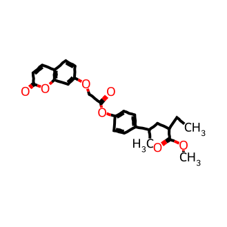 CCC(CC(C)c1ccc(OC(=O)COc2ccc3ccc(=O)oc3c2)cc1)C(=O)OC